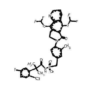 Cc1cc(CS(=O)(=O)NC(=O)C(C)(C)c2cc(F)ccc2Cl)ccc1N1Cc2c(c(OC(F)F)c3cccnc3c2OC(F)F)C1=O